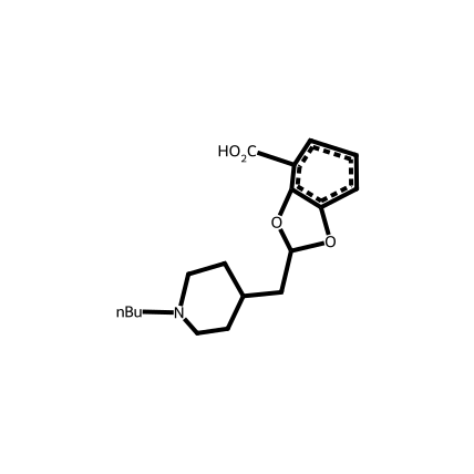 CCCCN1CCC(CC2Oc3cccc(C(=O)O)c3O2)CC1